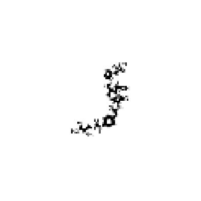 N[C@H](COC(=O)Nc1ccc(CC(=O)N[C@@H]2C(=O)N3C(C(=O)O)=C(CSc4nnnn4CS(=O)(=O)O)CS[C@@H]23)cc1)C(=O)O